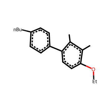 CCCCc1ccc(-c2ccc(OCC)c(C)c2C)cc1